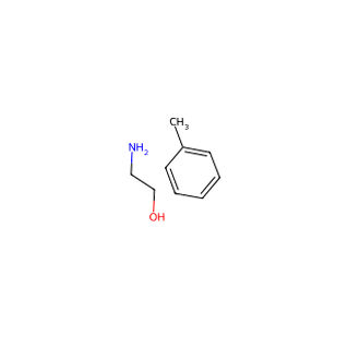 Cc1ccccc1.NCCO